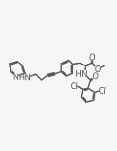 COC(=O)[C@H](Cc1ccc(C#CCCNc2ccccn2)cc1)NC(=O)c1c(Cl)cccc1Cl